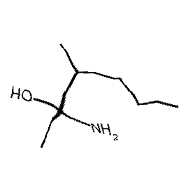 CCCC(C)C(C)(N)O